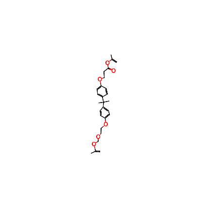 C=C(C)OCOCCOc1ccc(C(C)(C)c2ccc(OCCC(=O)OC(=C)C)cc2)cc1